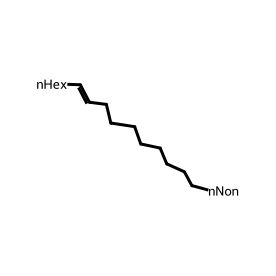 [CH2]CCCCCC=CCCCCCCCCCCCCCCCC[CH2]